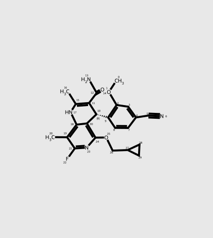 COc1cc(C#N)ccc1[C@H]1C(C(N)=O)=C(C)Nc2c(C)c(F)nc(OCC3CC3)c21